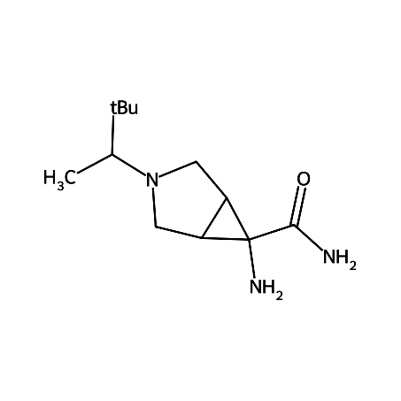 CC(N1CC2C(C1)C2(N)C(N)=O)C(C)(C)C